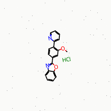 COc1cc(-c2nc3ccccc3o2)ccc1-c1ccccn1.Cl